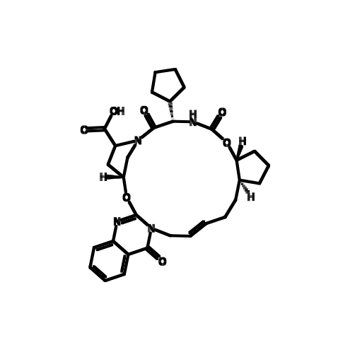 O=C1N[C@@H](C2CCCC2)C(=O)N2C[C@@H](CC2C(=O)O)Oc2nc3ccccc3c(=O)n2C/C=C/CC[C@@H]2CCC[C@H]2O1